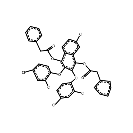 O=C(Cc1ccccc1)Oc1c(Oc2ccc(Cl)cc2Cl)c(Oc2ccc(Cl)cc2Cl)c(OC(=O)Cc2ccccc2)c2cc(Cl)ccc12